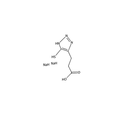 O=C(O)CCc1nn[nH]c1S.[NaH].[NaH]